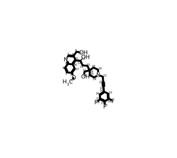 COc1ccc2ncc(CO)c([C@@H](O)CCC3(CO)CCN(CC#Cc4cc(F)c(F)c(F)c4)CC3)c2c1